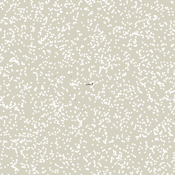 O=C1c2c(O)c(=O)cnn2[C@H](C(c2cccc(F)c2)c2cccc(F)c2)N2CCCCN12